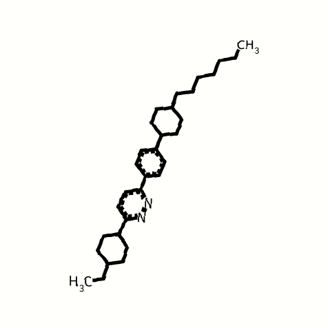 CCCCCCCC1CCC(c2ccc(-c3ccc(C4CCC(CC)CC4)nn3)cc2)CC1